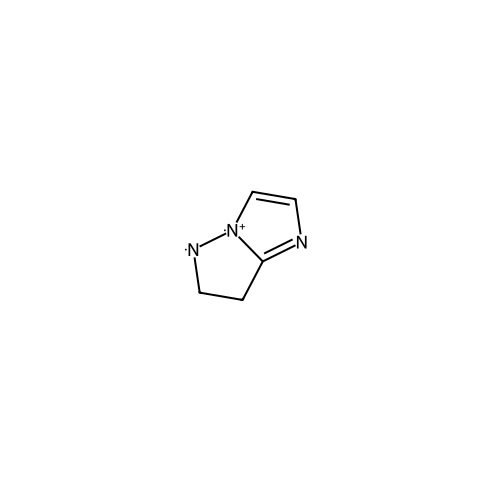 C1=C[N+]2[N]CCC2=N1